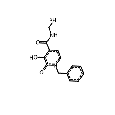 [3H]CNC(=O)c1ccn(Cc2ccccc2)c(=O)c1O